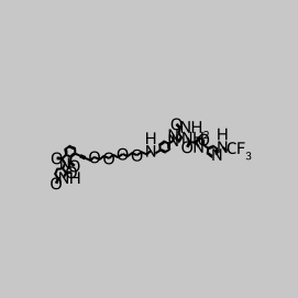 NC(=O)c1nn(-c2ccc(CNCCOCCOCCOCCOCC#Cc3cccc4c3C(=O)N(C3CCC(=O)NC3=O)C4=O)cc2)cc1NC(=O)c1coc(-c2ccnc(NCC(F)(F)F)c2)n1